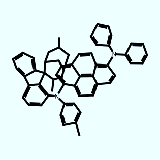 Cc1ccc(N(c2cccc3c2C2(c4ccccc4-3)C(C)CC3CC(C)CC2C3)c2ccc3ccc4c(N(c5ccccc5)c5ccccc5)ccc5ccc2c3c54)cc1